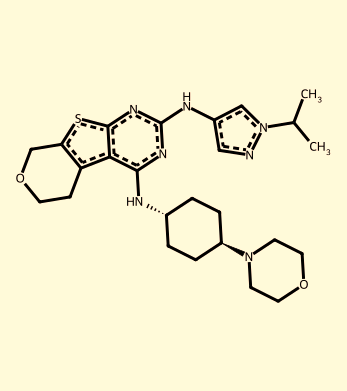 CC(C)n1cc(Nc2nc(N[C@H]3CC[C@H](N4CCOCC4)CC3)c3c4c(sc3n2)COCC4)cn1